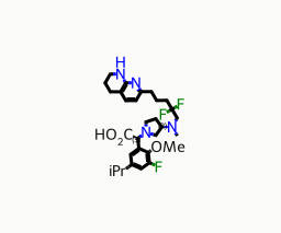 COc1c(F)cc(C(C)C)cc1[C@@H](C(=O)O)N1CC[C@@H](N(C)CC(F)(F)CCCc2ccc3c(n2)NCCC3)C1